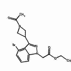 CCOC(=O)Cn1nc(C2CN(C(C)=O)C2)c2c(Br)cccc21